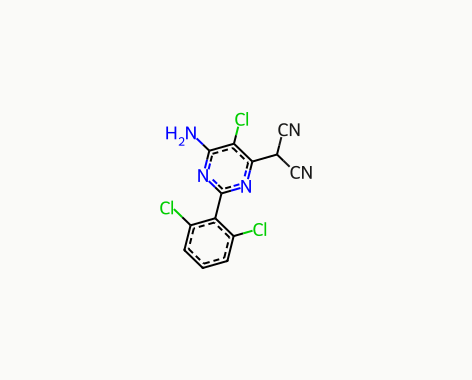 N#CC(C#N)c1nc(-c2c(Cl)cccc2Cl)nc(N)c1Cl